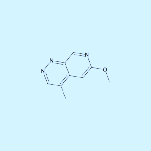 COc1cc2c(C)cnnc2cn1